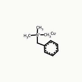 C[N+](C)(C)Cc1ccccc1.[Cu]